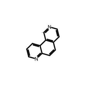 [c]1nccc2ccc3ncccc3c12